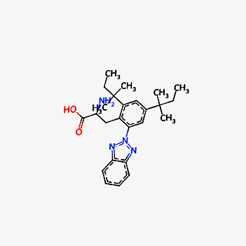 CCC(C)(C)c1cc(-n2nc3ccccc3n2)c(C[C@H](N)C(=O)O)c(C(C)(C)CC)c1